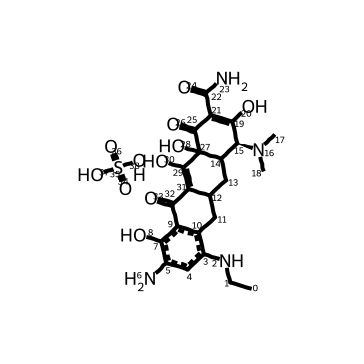 CCNc1cc(N)c(O)c2c1CC1CC3[C@H](N(C)C)C(O)=C(C(N)=O)C(=O)C3(O)C(O)=C1C2=O.O=S(=O)(O)O